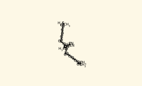 C=C(C)C(=O)OCCOCCOCCOCCOC(=O)CCCOc1cc(C)c(OCCCC(=O)OCCOCCOCCOCCOC(=O)C(=C)C)c2c1SC(=C(C#N)C#N)S2